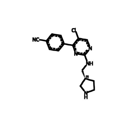 N#Cc1ccc(-c2nc(NC[C@@H]3CCNC3)ncc2Cl)cc1